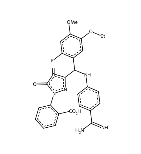 CCOc1cc(C(Nc2ccc(C(=N)N)cc2)c2nn(-c3ccccc3C(=O)O)c(=O)[nH]2)c(F)cc1OC